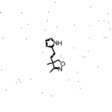 CC1=NOCC1(C)C=Cc1ccc[nH]1